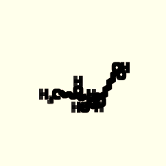 CCCCC[C@H](O)/C=C/[C@@H]1[C@H]2C/C(=C\CCCCCC(=O)O)O[C@H]2C[C@H]1O